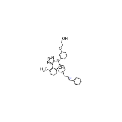 Cc1cccc(C)c1-n1nnnc1[C@H](c1cccc(OCCO)c1)N1CCN(C/C=C/c2ccccc2)CC1